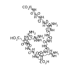 N=C(N)NCCC[C@H](NC(=O)CN)C(=O)N[C@@H](CCC(=O)O)C(=O)NCC(=O)NCC(=O)NCC(=O)N[C@@H](CCC(=O)O)C(=O)N[C@@H](CCCNC(=N)N)C(=O)NCC(=O)NCC(=O)NCC(=O)NCC(=O)N[C@@H](CC(N)=O)C(=O)NCC(=O)NCC(=O)NCC(=O)NCC(=O)NCC(=O)O